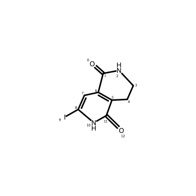 O=C1NCCc2c1cc(I)[nH]c2=O